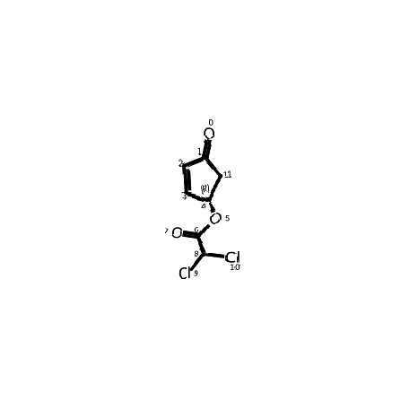 O=C1C=C[C@H](OC(=O)C(Cl)Cl)C1